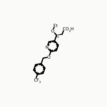 CCO[C@@H](CC(=O)O)c1ccc(OCc2ccc(C(F)(F)F)cc2)nc1